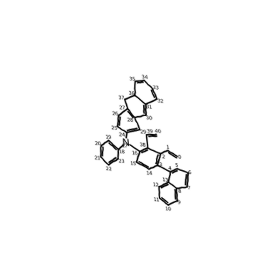 C=Cc1c(-c2cccc3ccccc23)ccc(N(c2ccccc2)c2ccc3c(c2)C=C2C=CC=CC2C3)c1C=C